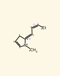 CC/C=C\C=C1/CC=CN1C